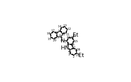 CCc1ccc2[nH]c3c(N=C4c5ccccc5-c5ccccc54)cc(CC)cc3c2c1